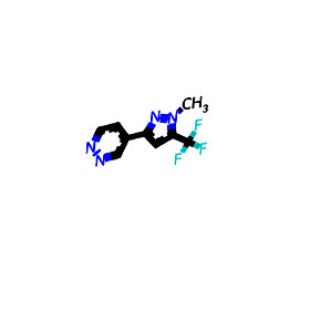 Cn1nc(-c2ccnnc2)cc1C(F)(F)F